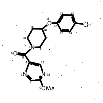 COc1cnc(C(=O)N2CCC(Oc3ccc(Cl)cc3)CC2)cn1